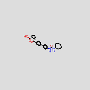 O=C(Nc1ccc(-c2ccc(C(=O)[C@@H]3CCC[C@H]3C(=O)O)cc2)cc1)NC1CCCCCCC1